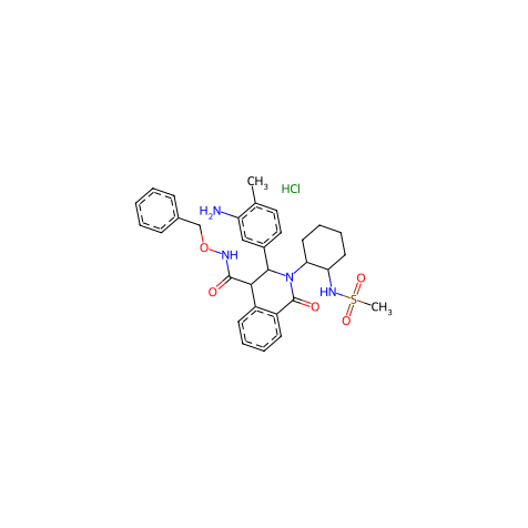 Cc1ccc(C2C(C(=O)NOCc3ccccc3)c3ccccc3C(=O)N2C2CCCCC2NS(C)(=O)=O)cc1N.Cl